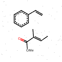 C=Cc1ccccc1.CC=C(C)C(=O)OC